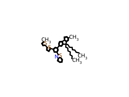 CCCCCCCCC1(CCCCCCCC)c2cc(C)ccc2-c2ccc(-c3cc(-c4ccc(-c5ccc(C)s5)s4)cc(-c4nc5ccccc5s4)c3)cc21